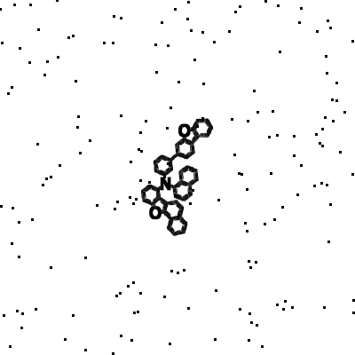 c1cc(-c2ccc3c(c2)oc2ccccc23)cc(N(c2cccc3ccccc23)c2cccc3oc4c5ccccc5ccc4c23)c1